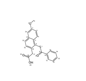 COc1ccc2c(SC(=O)c3ccccc3)c(CC(=O)O)ccc2c1